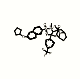 CN(C(C(=O)N1C2CCC1CC(N)C2)C(F)(F)c1ccc(C(F)(F)F)cc1)S(=O)(=O)c1ccc2cc(OC3CCCC3)ccc2c1